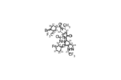 C[C@@H]1Cn2c(c(C(=O)NCc3c(F)cccc3Cl)n(-c3ccc4c(cnn4CC(F)(F)F)c3)c2=O)CN1C(=O)c1ccc(Br)c(C(F)(F)F)c1